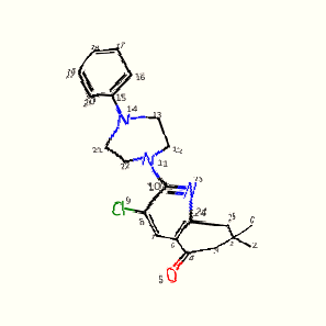 CC1(C)CC(=O)c2cc(Cl)c(N3CCN(c4ccccc4)CC3)nc2C1